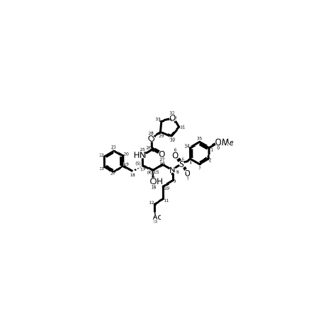 COc1ccc(S(=O)(=O)N(CCCCC(C)=O)C[C@@H](O)[C@H](Cc2ccccc2)NC(=O)OC2CCOC2)cc1